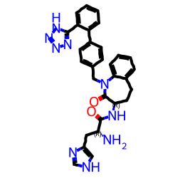 N[C@H](Cc1c[nH]cn1)C(=O)N[C@@H]1CCc2ccccc2N(Cc2ccc(-c3ccccc3-c3nnn[nH]3)cc2)C1=O